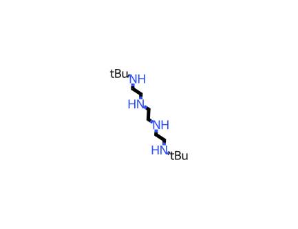 CC(C)(C)NCCNCCNCCNC(C)(C)C